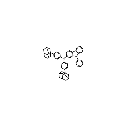 c1ccc(-n2c3ccccc3c3ccc(N(c4ccc(C56CC7CC(CC(C7)C5)C6)cc4)c4ccc(C56CC7CC(CC(C7)C5)C6)cc4)cc32)cc1